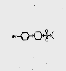 CC(C)c1ccc(N2CCN(S(=O)(=O)N(C)C)CC2)cc1